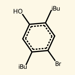 CCC(C)c1cc(Br)c(C(C)CC)cc1O